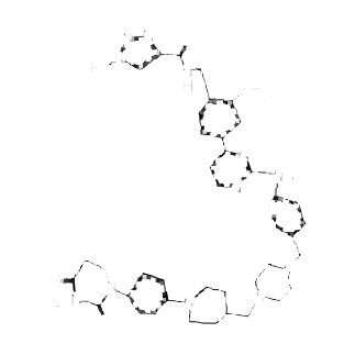 Cc1cc(-c2ccnc(Nc3ccc(CN4CCN(CC5CCN(c6ccc(N7CCC(=O)NC7=O)cc6)CC5)CC4)cc3)n2)ccc1CNC(=O)c1cn(C(C)(C)C)nn1